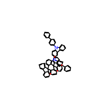 c1ccc(-c2ccc(N(c3ccc4c(c3)c3ccccc3n4-c3ccc(-c4ccccc4)cc3)c3cccc4c3C3(c5ccccc5-c5ccccc53)c3ccccc3C43c4ccccc4-c4ccccc43)cc2)cc1